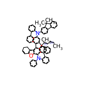 C/C=C\C=C(/C)C1(c2ccccc2)c2cc(N(c3ccc4c(c3)C(C)(C)c3ccccc3-4)c3ccccc3-c3ccccc3)ccc2-c2c1cc(N(c1ccccc1)c1ccccc1-c1ccccc1)c1oc3c(c21)CCC=C3